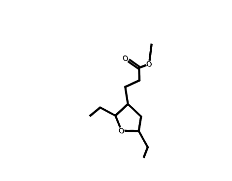 CCC1CC(CCC(=O)OC)C(CC)O1